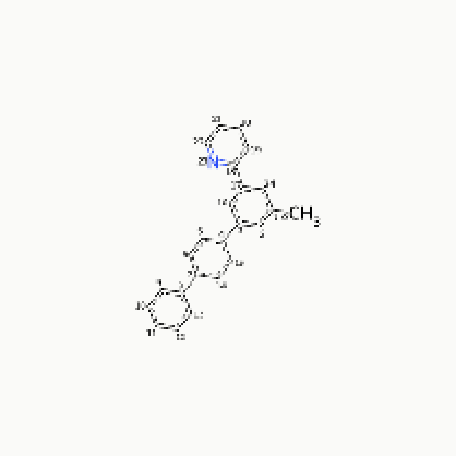 Cc1cc(-c2ccc(-c3ccccc3)cc2)cc(-c2ccccn2)c1